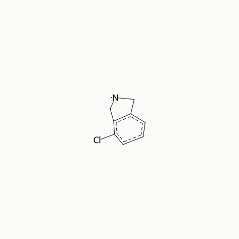 Clc1cccc2c1C[N]C2